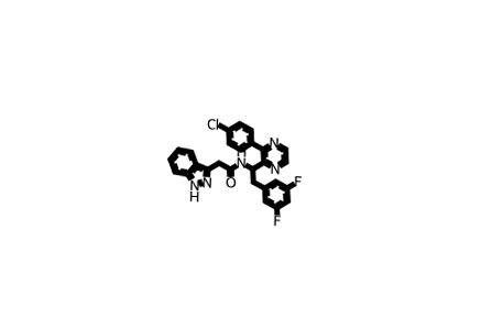 O=C(Cc1n[nH]c2ccccc12)NC(Cc1cc(F)cc(F)c1)c1nccnc1-c1ccc(Cl)cc1